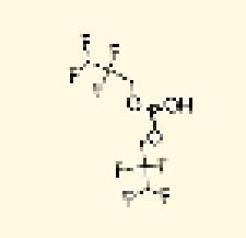 OP(OCC(F)(F)C(F)F)OCC(F)(F)C(F)F